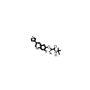 CSC(Oc1cc2cc(-c3ccsc3)cnc2cc1F)C(=O)NC(C)(C)C